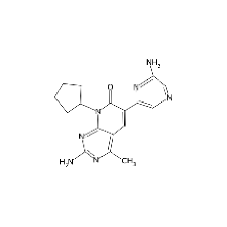 Cc1nc(N)nc2c1cc(-c1cncc(N)n1)c(=O)n2C1CCCC1